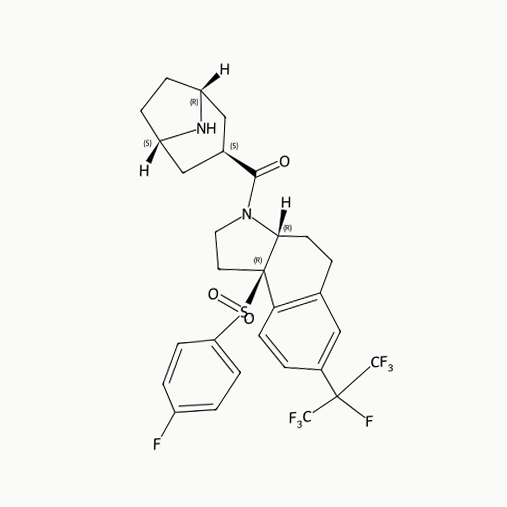 O=C([C@@H]1C[C@H]2CC[C@@H](C1)N2)N1CC[C@@]2(S(=O)(=O)c3ccc(F)cc3)c3ccc(C(F)(C(F)(F)F)C(F)(F)F)cc3CC[C@@H]12